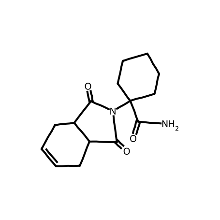 NC(=O)C1(N2C(=O)C3CC=CCC3C2=O)CCCCC1